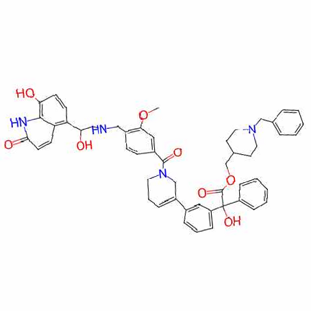 COc1cc(C(=O)N2CCC=C(c3cccc(C(O)(C(=O)OCC4CCN(Cc5ccccc5)CC4)c4ccccc4)c3)C2)ccc1CNCC(O)c1ccc(O)c2[nH]c(=O)ccc12